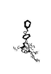 CC(C)=CCN(C[C@H](C)NC(=O)[C@H](CC(C)C)NCCC(C)C)c1ccc(OCc2ccccc2)cc1